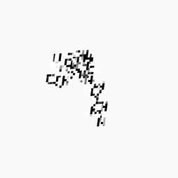 CC(C)(C)[Si](C)(C)OC(CN1CCc2ccccc2C1)CN1CCN(Cc2ccc(-c3cnc(C#N)nc3)cn2)C1=O